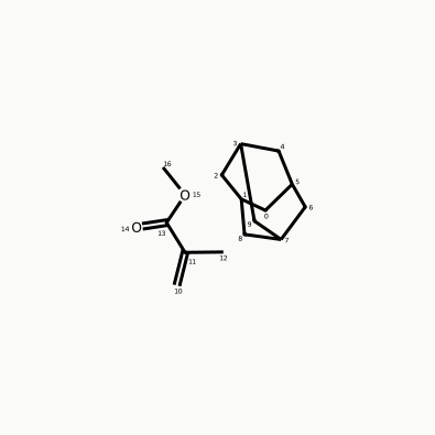 C1C2CC3CC1CC(C2)C3.C=C(C)C(=O)OC